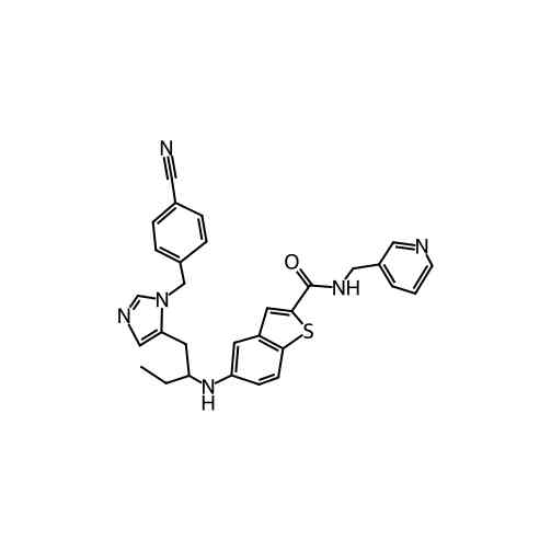 CCC(Cc1cncn1Cc1ccc(C#N)cc1)Nc1ccc2sc(C(=O)NCc3cccnc3)cc2c1